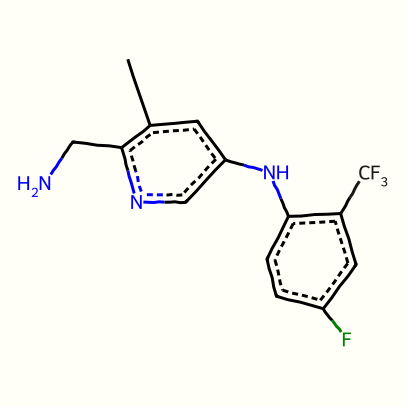 Cc1cc(Nc2ccc(F)cc2C(F)(F)F)cnc1CN